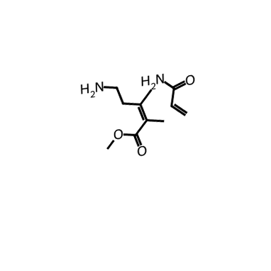 C=CC(N)=O.COC(=O)C(C)=C(C)CCN